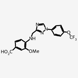 COc1cc(C(=O)O)ccc1NCc1ncn(-c2ccc(OC(F)(F)F)cc2)n1